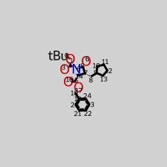 CC(C)(C)OC(=O)N1C(=O)[C@H](CC2CCCC2)[C@H]1C(=O)OCc1ccccc1